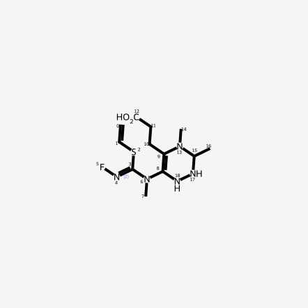 C=CS/C(=N\F)N(C)C1=C(CCC(=O)O)N(C)C(C)NN1